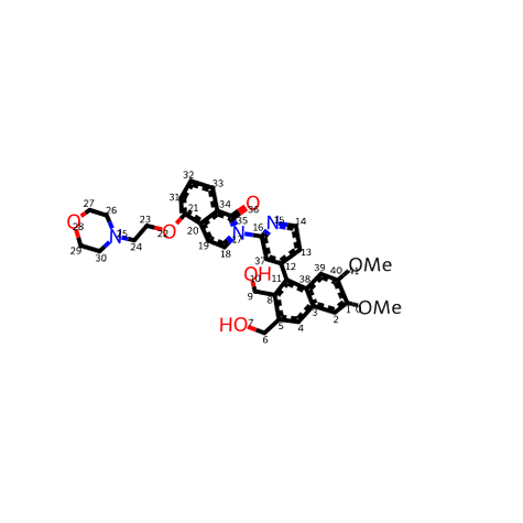 COc1cc2cc(CO)c(CO)c(-c3ccnc(-n4ccc5c(OCCN6CCOCC6)cccc5c4=O)c3)c2cc1OC